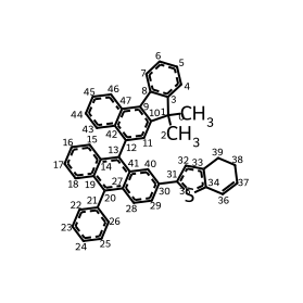 CC1(C)c2ccccc2-c2c1cc(-c1c3ccccc3c(-c3ccccc3)c3ccc(-c4cc5c(s4)C=CCC5)cc13)c1ccccc21